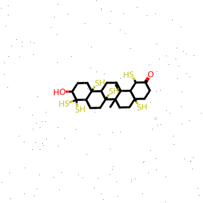 CC12CCC3(S)CCC(=O)C(S)C3C1=CCC1C3(S)CCC(O)C(S)(S)C3CCC12S